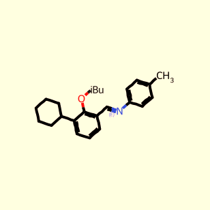 CCC(C)Oc1c(/C=N/c2ccc(C)cc2)cccc1C1CCCCC1